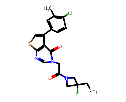 CCC1(F)CN(C(=O)Cn2cnc3scc(-c4ccc(Cl)c(C)c4)c3c2=O)C1